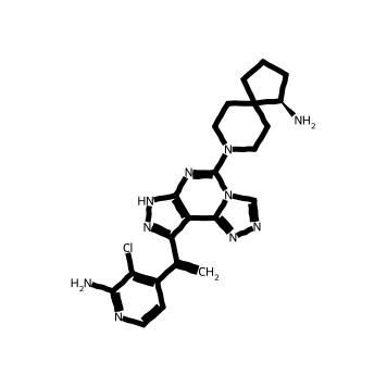 C=C(c1ccnc(N)c1Cl)c1n[nH]c2nc(N3CCC4(CCC[C@H]4N)CC3)n3cnnc3c12